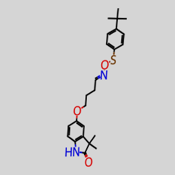 CC(C)(C)c1ccc(SON=CCCCOc2ccc3c(c2)C(C)(C)C(=O)N3)cc1